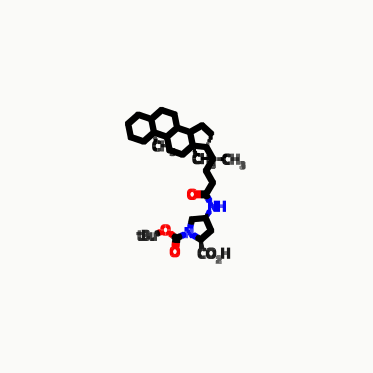 C[C@H](CCC(=O)N[C@H]1C[C@@H](C(=O)O)N(C(=O)OC(C)(C)C)C1)[C@H]1CCC2C3CCC4CCCC[C@]4(C)C3CC[C@@]21C